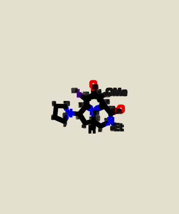 CCN1C[C@@H]2CC(N3CCCC3)c3c(I)c(=O)c(OC)c(n32)C1=O